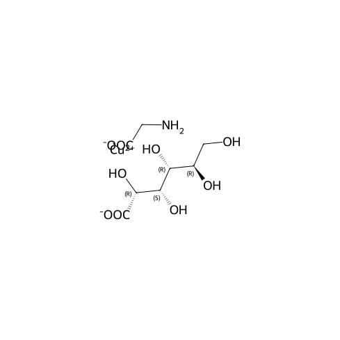 NCC(=O)[O-].O=C([O-])[C@H](O)[C@@H](O)[C@H](O)[C@H](O)CO.[Cu+2]